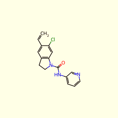 C=Cc1cc2c(cc1Cl)N(C(=O)Nc1cccnc1)CC2